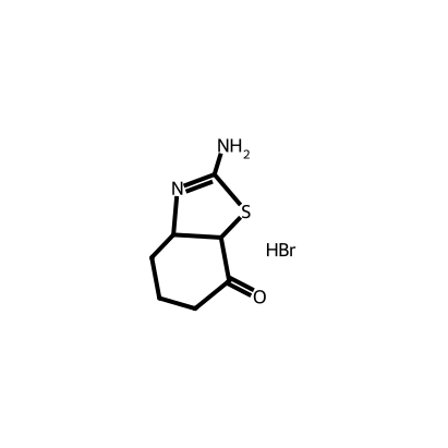 Br.NC1=NC2CCCC(=O)C2S1